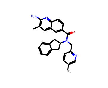 Cc1cc2cc(C(=O)N(Cc3ccc(C(F)(F)F)cn3)C3Cc4ccccc4C3)ccc2nc1N